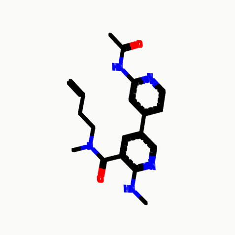 C=CCCN(C)C(=O)c1cc(-c2ccnc(NC(C)=O)c2)cnc1NC